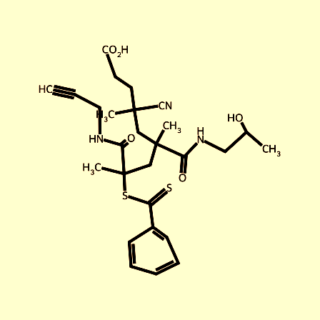 C#CCNC(=O)C(C)(CC(C)(CC(C)(C#N)CCC(=O)O)C(=O)NCC(C)O)SC(=S)c1ccccc1